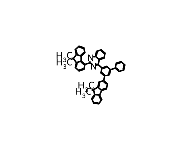 CC1(C)c2ccccc2-c2ccc(-c3cc(-c4ccccc4)cc(-c4nc(-c5cccc6c5-c5ccccc5C6(C)C)nc5ccccc45)c3)cc21